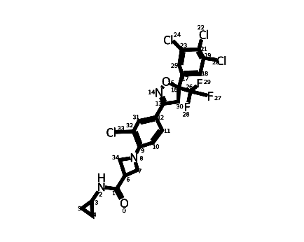 O=C(NC1CC1)C1CN(c2ccc(C3=NOC(c4cc(Cl)c(Cl)c(Cl)c4)(C(F)(F)F)C3)cc2Cl)C1